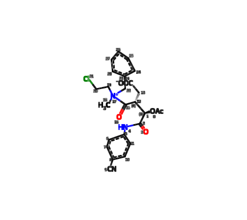 CC(=O)O[C@@H](C(=O)Nc1ccc(C#N)cc1)[C@@H](CC(=O)[O-])C(=O)[N+](C)(CCCl)Cc1ccccc1